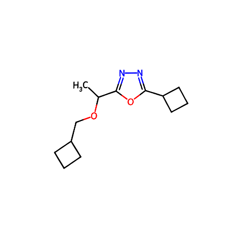 CC(OCC1CCC1)c1nnc(C2CCC2)o1